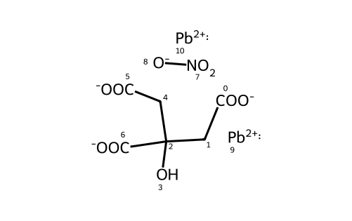 O=C([O-])CC(O)(CC(=O)[O-])C(=O)[O-].O=[N+]([O-])[O-].[Pb+2].[Pb+2]